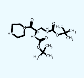 CC(C)(C)OC(=O)NC[C@@H](NC(=O)OC(C)(C)C)C(=O)N1CCNCC1